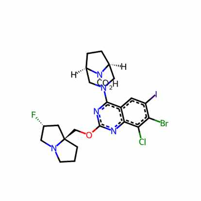 O=C(O)N1[C@@H]2CC[C@H]1CN(c1nc(OC[C@@]34CCCN3C[C@H](F)C4)nc3c(Cl)c(Br)c(I)cc13)C2